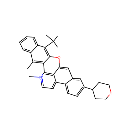 Cc1c2c(c(C(C)(C)C)c3ccccc13)Oc1cc3cc(C4CCOCC4)ccc3c3cc[n+](C)c-2c13